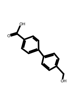 O=C(O)c1ccc(-c2ccc(CO)cc2)cc1